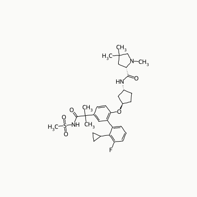 CN1CC(C)(C)C[C@H]1C(=O)N[C@@H]1CC[C@@H](Oc2ccc(C(C)(C)C(=O)NS(C)(=O)=O)cc2-c2cccc(F)c2C2CC2)C1